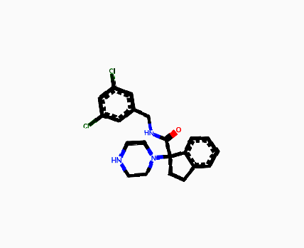 O=C(NCc1cc(Cl)cc(Cl)c1)C1(N2CCNCC2)CCc2ccccc21